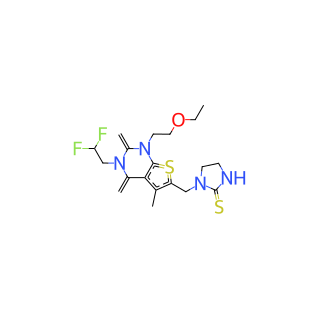 C=C1c2c(sc(CN3CCNC3=S)c2C)N(CCOCC)C(=C)N1CC(F)F